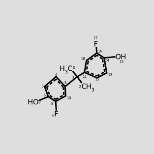 CC(C)(c1ccc(O)c(F)c1)c1ccc(O)c(F)c1